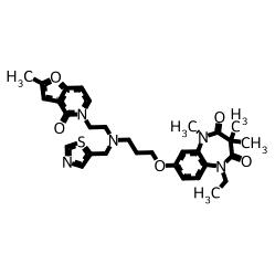 CCN1C(=O)C(C)(C)C(=O)N(C)c2cc(OCCCN(CCn3ccc4oc(C)cc4c3=O)Cc3cncs3)ccc21